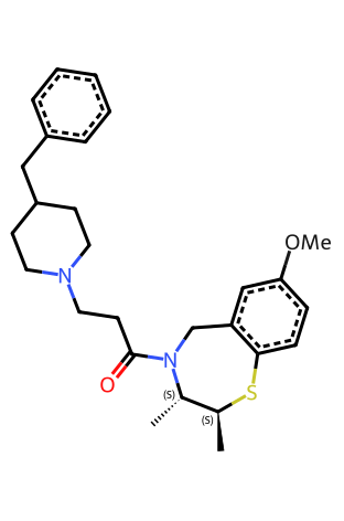 COc1ccc2c(c1)CN(C(=O)CCN1CCC(Cc3ccccc3)CC1)[C@@H](C)[C@H](C)S2